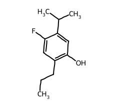 CCCc1cc(F)c(C(C)C)cc1O